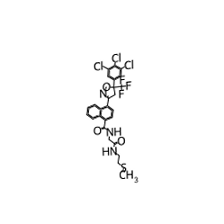 CSCCNC(=O)CNC(=O)c1ccc(C2=NOC(c3cc(Cl)c(Cl)c(Cl)c3)(C(F)(F)F)C2)c2ccccc12